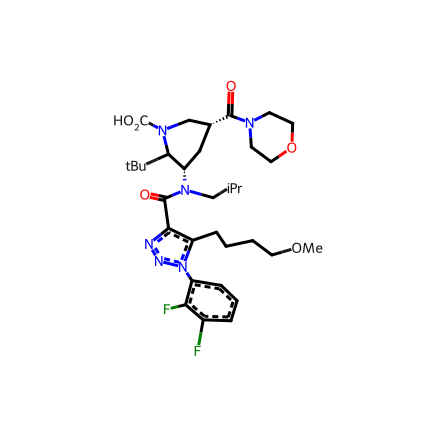 COCCCCc1c(C(=O)N(CC(C)C)[C@H]2C[C@@H](C(=O)N3CCOCC3)CN(C(=O)O)C2C(C)(C)C)nnn1-c1cccc(F)c1F